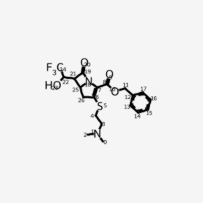 CN(C)CCSC1=C(C(=O)OCc2ccccc2)N2C(=O)C(C(O)C(F)(F)F)C2C1